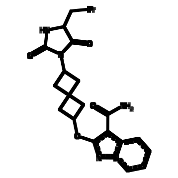 CC(C)CC1NC(=O)N(C2CC3(CC(Oc4nn5ccccc5c4C(N)=O)C3)C2)C1=O